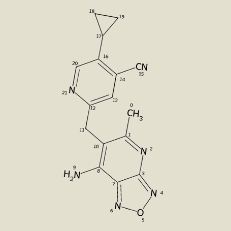 Cc1nc2nonc2c(N)c1Cc1cc(C#N)c(C2CC2)cn1